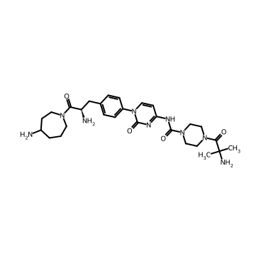 CC(C)(N)C(=O)N1CCN(C(=O)Nc2ccn(-c3ccc(C[C@@H](N)C(=O)N4CCCC(N)CC4)cc3)c(=O)n2)CC1